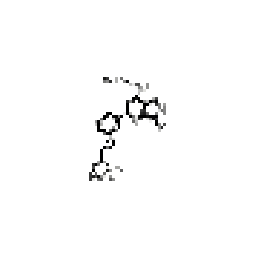 CCCCCCNc1cc(-c2cccc(OCC(O)CNC)c2)nc2c1cnn2C(C)C